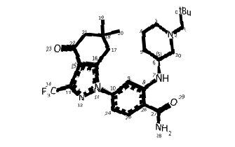 CC(C)(C)CN1CCC[C@H](Nc2cc(-n3nc(C(F)(F)F)c4c3CC(C)(C)CC4=O)ccc2C(N)=O)C1